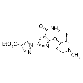 CCOC(=O)c1cnn(-c2cnc(O[C@@H]3CCN(C)C[C@@H]3F)c(C(N)=O)c2)c1